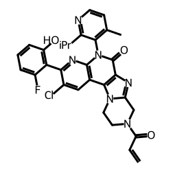 C=CC(=O)N1CCn2c(nc3c(=O)n(-c4c(C)ccnc4C(C)C)c4nc(-c5c(O)cccc5F)c(Cl)cc4c32)C1